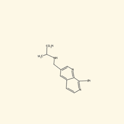 CC(NCc1cnc2c(C(C)C)nccc2c1)C(=O)O